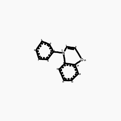 C1=CN(c2ccccc2)c2ccccc2O1